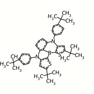 CC(C)(C)c1ccc(N2c3cc(C(C)(C)C)sc3B3c4sc(C(C)(C)C)cc4N(c4ccc(C(C)(C)C)cc4)c4cccc2c43)cc1